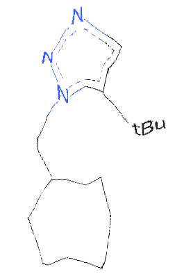 CC(C)(C)c1cnnn1CC1CCCCC1